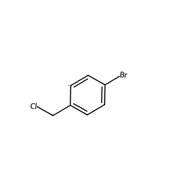 ClCc1[c]cc(Br)cc1